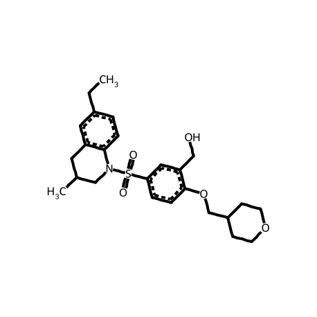 CCc1ccc2c(c1)CC(C)CN2S(=O)(=O)c1ccc(OCC2CCOCC2)c(CO)c1